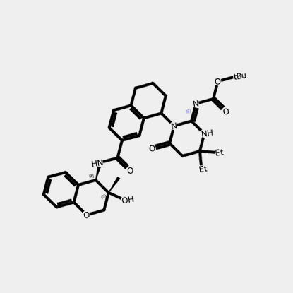 CCC1(CC)CC(=O)N(C2CCCc3ccc(C(=O)N[C@@H]4c5ccccc5OC[C@@]4(C)O)cc32)/C(=N/C(=O)OC(C)(C)C)N1